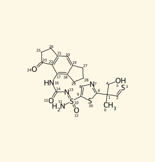 CC(C=S)(CO)c1ncc(S(N)(=O)=NC(=O)Nc2c3c(cc4c2C(=O)CC4)CCC3)s1